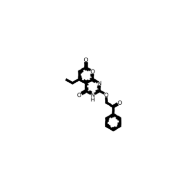 CCc1cc(=O)oc2nc(OCC(=O)c3ccccc3)[nH]c(=O)c12